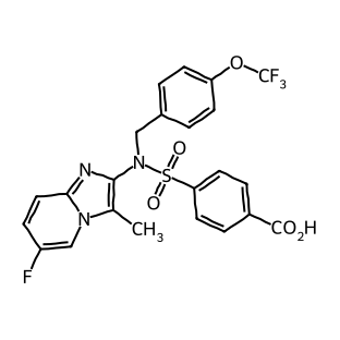 Cc1c(N(Cc2ccc(OC(F)(F)F)cc2)S(=O)(=O)c2ccc(C(=O)O)cc2)nc2ccc(F)cn12